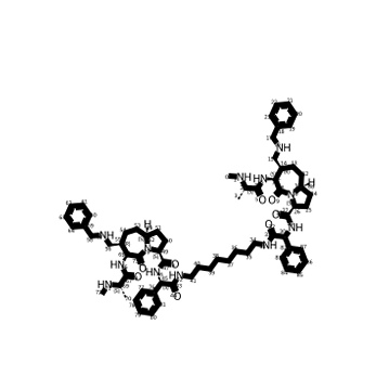 CN[C@@H](C)C(=O)N[C@@H]1C(=O)N2[C@@H](CC[C@@H]1CNCc1ccccc1)CC[C@H]2C(=O)NC(C(=O)NCCCCCCCCNC(=O)[C@@H](NC(=O)[C@@H]1CC[C@@H]2CC[C@H](CNCc3ccccc3)[C@H](NC(=O)[C@H](C)NC)C(=O)N21)c1ccccc1)c1ccccc1